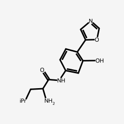 CC(C)CC(N)C(=O)Nc1ccc(-c2cnco2)c(O)c1